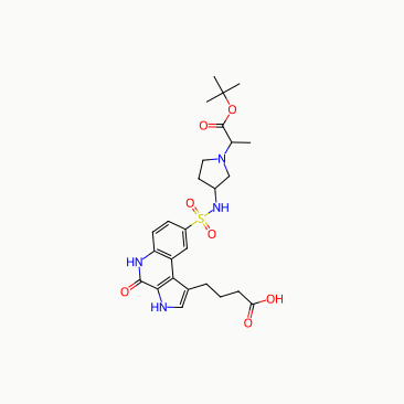 CC(C(=O)OC(C)(C)C)N1CCC(NS(=O)(=O)c2ccc3[nH]c(=O)c4[nH]cc(CCCC(=O)O)c4c3c2)C1